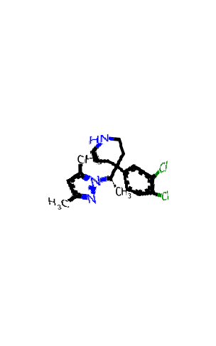 Cc1cc(C)n([C@@H](C)C2(c3ccc(Cl)c(Cl)c3)CCNCC2)n1